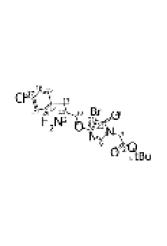 CC(C)(C)OC(=O)Cn1cnc(OC[C@H](N)Cc2ccc(Cl)cc2)c(Br)c1=O